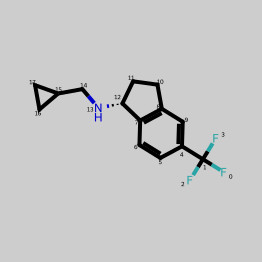 FC(F)(F)c1ccc2c(c1)CC[C@H]2NCC1CC1